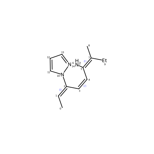 C\C=C(/C=C\C(N)=C(\C)CC)n1cccn1